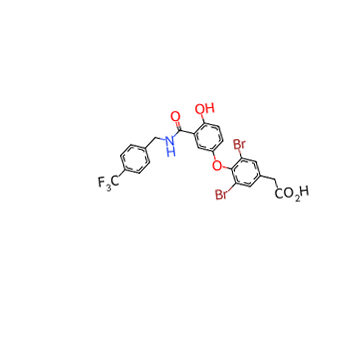 O=C(O)Cc1cc(Br)c(Oc2ccc(O)c(C(=O)NCc3ccc(C(F)(F)F)cc3)c2)c(Br)c1